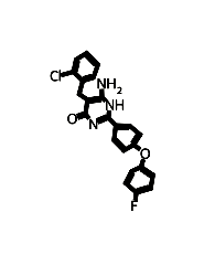 Nc1[nH]c(-c2ccc(Oc3ccc(F)cc3)cc2)nc(=O)c1Cc1ccccc1Cl